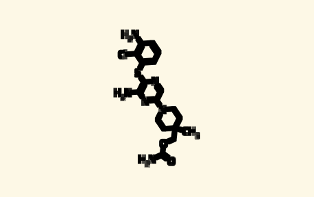 CC1(COC(N)=O)CCN(c2cnc(Sc3cccc(N)c3Cl)c(N)n2)CC1